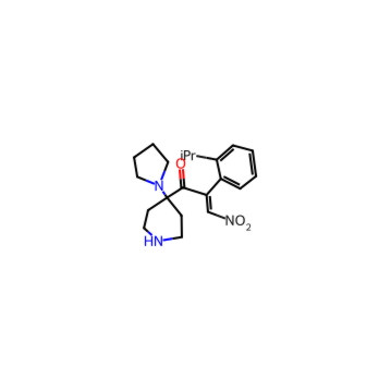 CC(C)c1ccccc1/C(=C\[N+](=O)[O-])C(=O)C1(N2CCCC2)CCNCC1